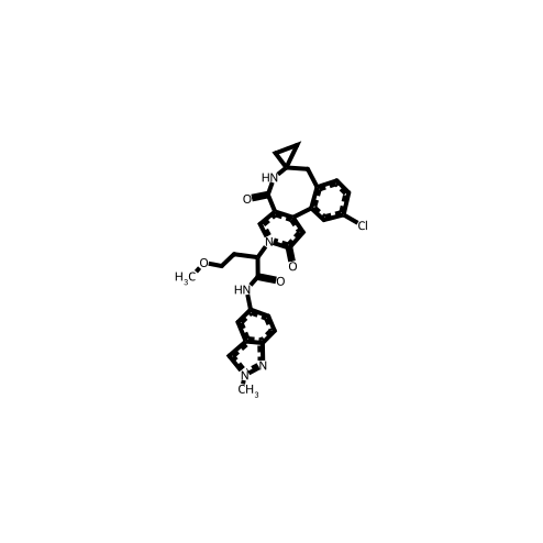 COCCC(C(=O)Nc1ccc2nn(C)cc2c1)n1cc2c(cc1=O)-c1cc(Cl)ccc1CC1(CC1)NC2=O